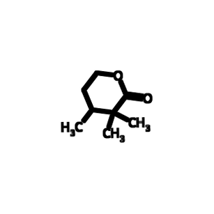 CC1CCOC(=O)C1(C)C